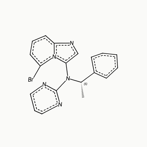 C[C@@H](c1ccccc1)N(c1ncccn1)c1cnc2cccc(Br)n12